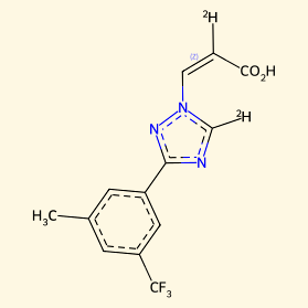 [2H]/C(=C/n1nc(-c2cc(C)cc(C(F)(F)F)c2)nc1[2H])C(=O)O